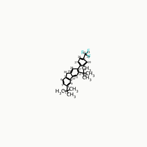 CC(C)(C)c1ccc2c(c1)-c1cc(C(C)(C)C)c(-c3ccc(C(F)(F)F)cc3)cc1C2